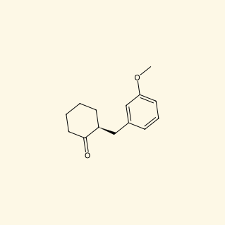 COc1cccc(C[C@@H]2CCCCC2=O)c1